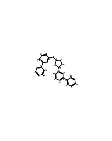 c1ccc(-c2cc(CC3CCC(c4ccnc(-c5ccccn5)c4)C3)ccn2)nc1